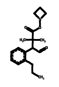 CCCc1ccccc1C(C=O)C(C)(C)C(=O)ON1CCC1